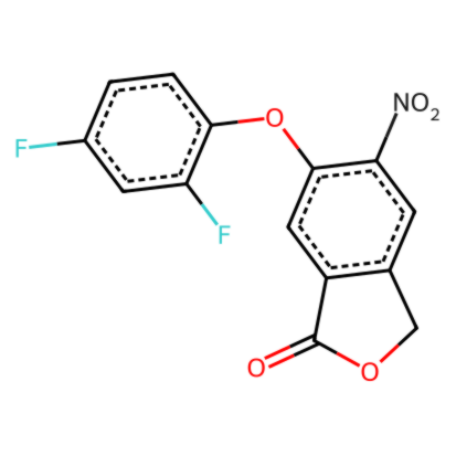 O=C1OCc2cc([N+](=O)[O-])c(Oc3ccc(F)cc3F)cc21